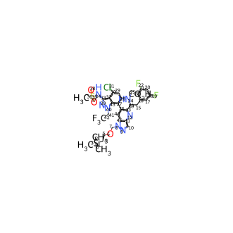 C[Si](C)(C)CCOCn1ncc2nc([C@H](Cc3cc(F)cc(F)c3)NC(=O)O)c(-c3ccc(Cl)c4c(NS(C)(=O)=O)nn(CC(F)(F)F)c34)cc21